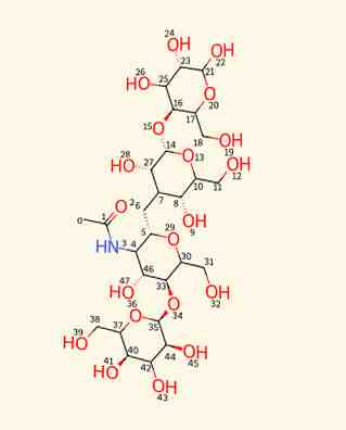 CC(=O)NC1[C@H](CC2[C@@H](O)C(CO)O[C@@H](O[C@@H]3C(CO)OC(O)[C@@H](O)C3O)[C@H]2O)OC(CO)[C@@H](O[C@@H]2OC(CO)[C@H](O)C(O)[C@@H]2O)[C@@H]1O